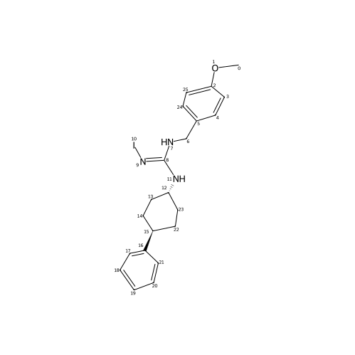 COc1ccc(CN/C(=N\I)N[C@H]2CC[C@H](c3ccccc3)CC2)cc1